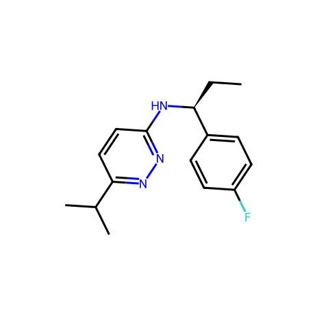 CC[C@H](Nc1ccc(C(C)C)nn1)c1ccc(F)cc1